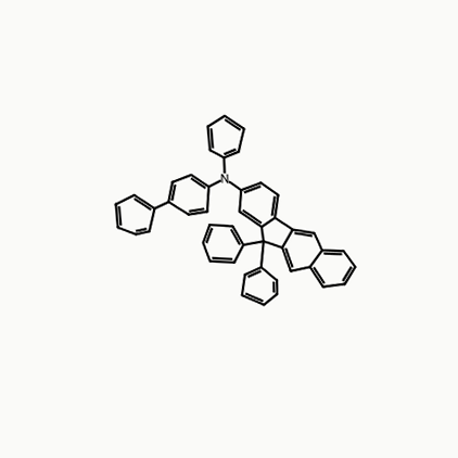 c1ccc(-c2ccc(N(c3ccccc3)c3ccc4c(c3)C(c3ccccc3)(c3ccccc3)c3cc5ccccc5cc3-4)cc2)cc1